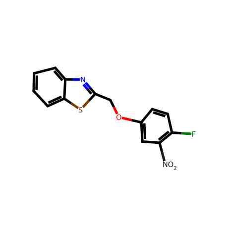 O=[N+]([O-])c1cc(OCc2nc3ccccc3s2)ccc1F